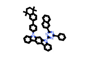 CC1(C)CCC(C)(C)c2cc(-c3ccc(-n4c5ccccc5c5cc6c7ccccc7n(-c7nc(-c8ccccc8)nc(-c8ccc9ccccc9c8)n7)c6cc54)cc3)ccc21